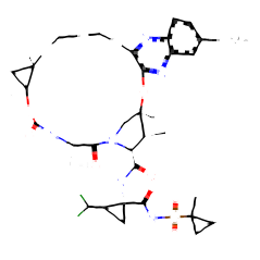 COc1ccc2nc3c(nc2c1)O[C@H]1CN(C(=O)[C@H](C(C)(C)C)NC(=O)O[C@@]2(C)C[C@@H]2CCCCC3)[C@H](C(=O)N[C@]2(C(=O)NS(=O)(=O)C3(C)CC3)CC2C(F)F)[C@@H]1C